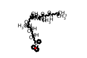 CN(C)CCCNC(=O)CCNC(=O)c1cc(NC(=O)c2cc(CCC(=O)c3nc(NC(=O)CCNC(=O)CCCC[PH](Cc4ccccc4)(c4ccccc4)c4ccccc4)cn3C)cn2C)cn1C